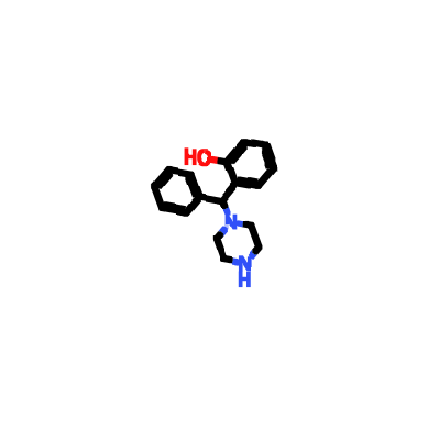 Oc1ccccc1C(c1ccccc1)N1CCNCC1